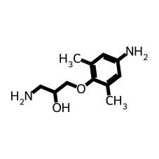 Cc1cc(N)cc(C)c1OCC(O)CN